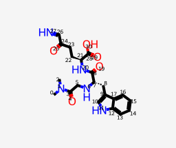 CN(C)C(=O)CN[C@@H](Cc1c[nH]c2ccccc12)C(=O)N[C@@H](CCC(=O)C=N)C(=O)O